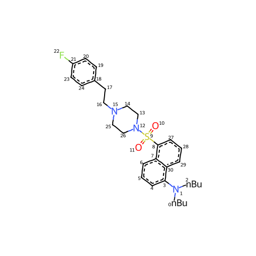 CCCCN(CCCC)c1cccc2c(S(=O)(=O)N3CCN(CCc4ccc(F)cc4)CC3)cccc12